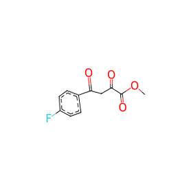 COC(=O)C(=O)CC(=O)c1ccc(F)cc1